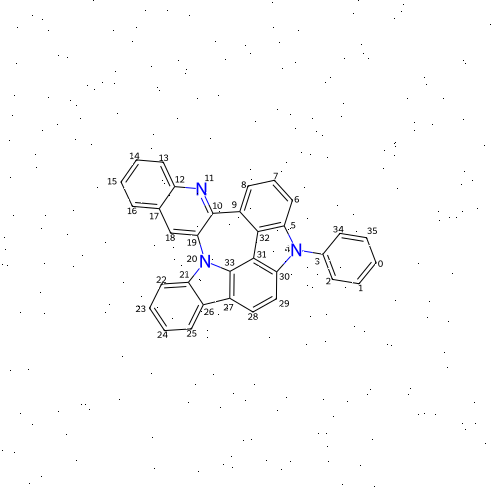 c1ccc(-n2c3cccc4c5nc6ccccc6cc5n5c6ccccc6c6ccc2c(c43)c65)cc1